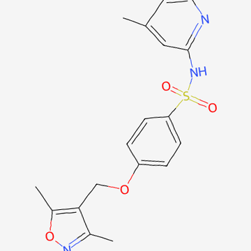 Cc1ccnc(NS(=O)(=O)c2ccc(OCc3c(C)noc3C)cc2)c1